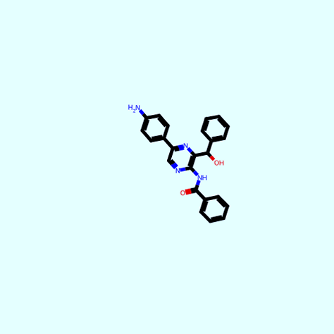 Nc1ccc(-c2cnc(NC(=O)c3ccccc3)c(C(O)c3ccccc3)n2)cc1